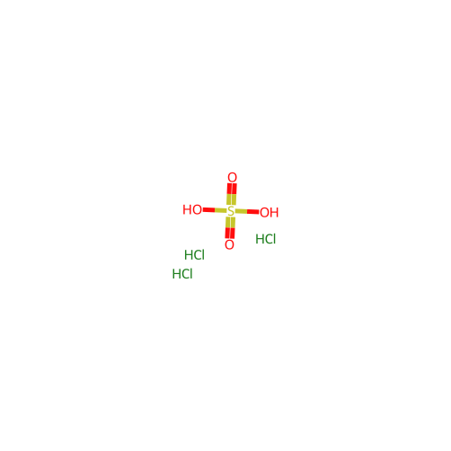 Cl.Cl.Cl.O=S(=O)(O)O